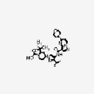 CC(C)(C)C1CC(n2cc(NC(=O)c3cnn4ccc(N5CCOCC5)nc34)c(C(F)F)n2)CCN1C(=O)O